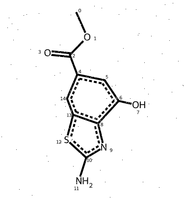 COC(=O)c1cc(O)c2nc(N)sc2c1